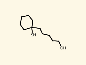 OCCCCCC1(S)CCCCC1